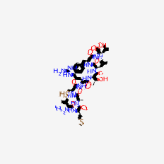 CSCC[C@H](NC(=O)[C@@H](N)C(C)C)C(=O)N[C@@H](C)C(=O)N[C@@H](CS)C(=O)N[C@@H](CCCNC(=N)N)C(=O)N[C@H](C(=O)N[C@@H](CC(C)C)C(=O)N[C@@H](Cc1ccccc1)C(=O)N[C@@H](CC(C)C)C(=O)O)[C@@H](C)O